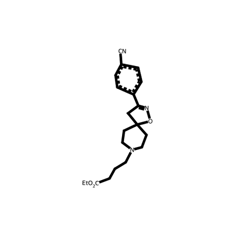 CCOC(=O)CCCN1CCC2(CC1)CC(c1ccc(C#N)cc1)=NO2